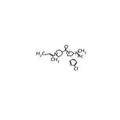 C=C/C=C(\C)N1CCC(C(=O)N2C[C@@H](N(C)C(C)=O)[C@H](c3ccc(Cl)cc3)C2)CC1